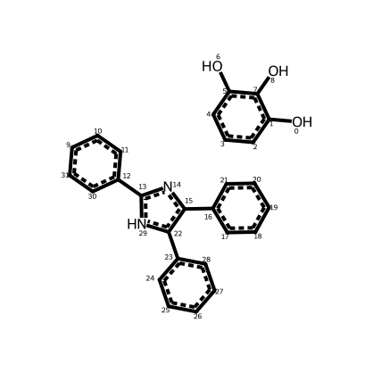 Oc1cccc(O)c1O.c1ccc(-c2nc(-c3ccccc3)c(-c3ccccc3)[nH]2)cc1